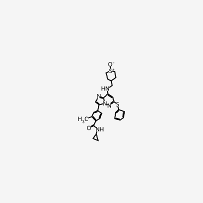 Cc1cc(-c2cnc3c(NCC4CC[S+]([O-])CC4)cc(Sc4ccccc4)nn23)ccc1C(=O)NC1CC1